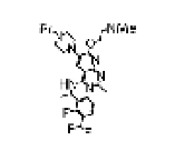 CNCCOc1nc2nc(C)nc(N[C@H](C)c3cccc(C(F)F)c3F)c2cc1N1CCN(C(C)C)CC1